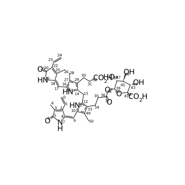 C=CC1=C(C)C(=O)NC1=Cc1[nH]c(Cc2[nH]c(/C=C3/NC(=O)C(C=C)=C3C)c(C)c2CCC(=O)O)c(CCC(=O)O[C@@H]2O[C@H](C(=O)O)[C@@H](O)[C@H](O)[C@H]2O)c1C